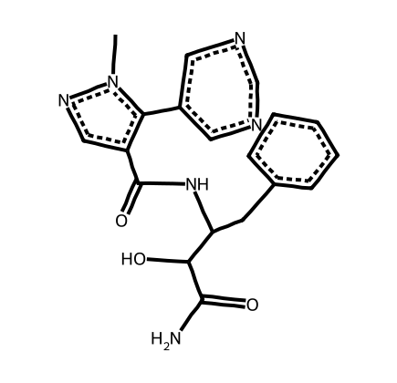 Cn1ncc(C(=O)NC(Cc2ccccc2)C(O)C(N)=O)c1-c1cncnc1